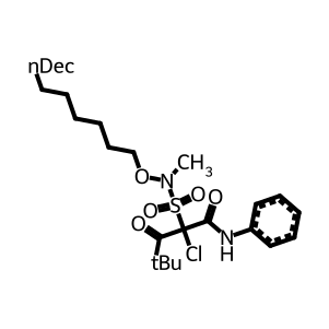 CCCCCCCCCCCCCCCCON(C)S(=O)(=O)C(Cl)(C(=O)Nc1ccccc1)C(=O)C(C)(C)C